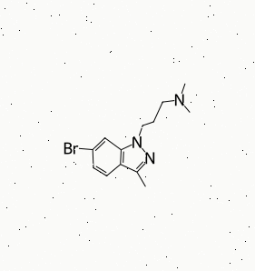 Cc1nn(CCCN(C)C)c2cc(Br)ccc12